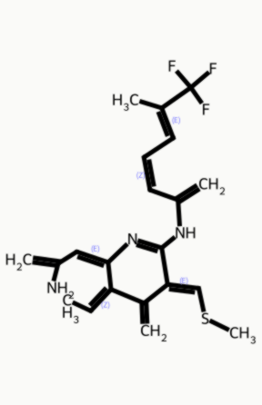 C=C(N)/C=c1/nc(NC(=C)/C=C\C=C(/C)C(F)(F)F)/c(=C/SC)c(=C)/c1=C/C